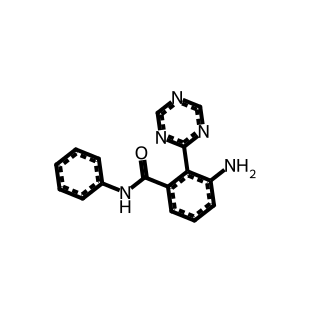 Nc1cccc(C(=O)Nc2ccccc2)c1-c1ncncn1